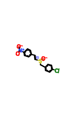 O=[N+]([O-])c1ccc(/C=C/[S+]([O-])Cc2ccc(Cl)cc2)cc1